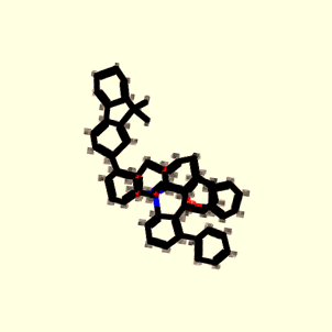 CC1(C)c2ccccc2-c2ccc(-c3cccc(N(c4cccc(-c5ccccc5)c4-c4ccccc4-c4ccccc4)c4cccc5c4oc4ccccc45)c3)cc21